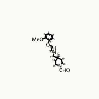 COc1ccccc1OCCNCC1(F)CCN(C=O)CC1